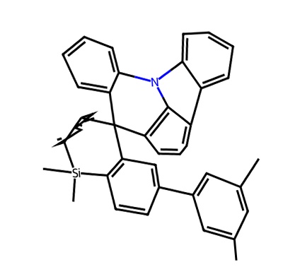 Cc1cc(C)cc(-c2ccc3c(c2)C2(c4ccccc4-n4c5ccccc5c5cccc2c54)c2ccccc2[Si]3(C)C)c1